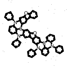 c1ccc(N2c3ccccc3B3c4cc5oc6cc7c(cc6c5cc4N(c4ccccc4)c4cccc2c43)N(c2ccccc2)c2cccc3c2B7c2cc4c(cc2N3c2ccccc2)oc2ccccc24)cc1